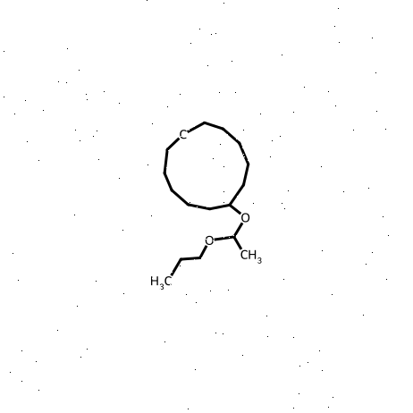 CCCOC(C)OC1CCCCCCCCCCC1